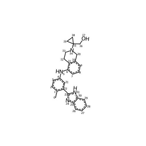 Cc1ccc(Nc2cccc3c2CCN(C2(CO)CC2)C3)cc1-c1nc2ccccc2[nH]1